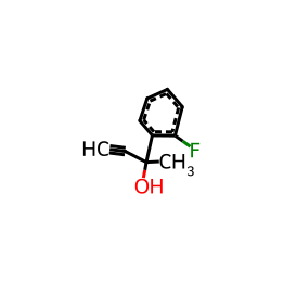 C#CC(C)(O)c1ccccc1F